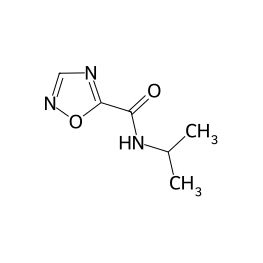 CC(C)NC(=O)c1ncno1